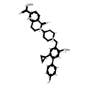 COC(=O)c1ccc2c(n1)CCN(C1CCN(Cc3cc(C4CC4)c(-c4ccc(F)cc4)cc3OC)CC1)C2=O